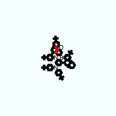 CC(C)(C)c1ccc(N(c2ccc(C(C)(C)C)cc2)c2cc3c4c(c2)N(c2ccc(C(C)(C)C)cc2-c2ccccc2)c2cc5c(cc2B4c2cc(C(C)(C)C)cc4c2C3CC2(C)CCCCC42C)oc2cc(C(C)(C)C)ccc25)cc1